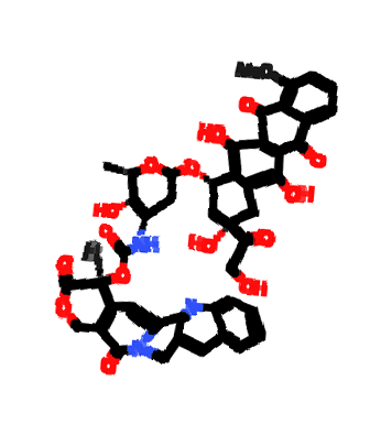 CC[C@@]1(OC(=O)N[C@H]2C[C@H](O[C@H]3C[C@](O)(C(=O)CO)Cc4c(O)c5c(c(O)c43)C(=O)c3c(OC)cccc3C5=O)O[C@@H](C)[C@H]2O)C(=O)OCc2c1cc1n(c2=O)Cc2cc3ccccc3nc2-1